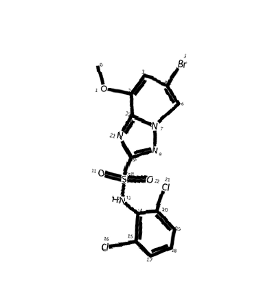 COc1cc(Br)cn2nc(S(=O)(=O)Nc3c(Cl)cccc3Cl)nc12